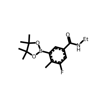 CCNC(=O)c1cc(F)c(C)c(B2OC(C)(C)C(C)(C)O2)c1